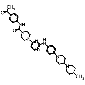 CC(=O)c1ccc(NC(=O)N2CCN(c3ccnc(Nc4ccc(N5CCC(N6CCN(C)CC6)CC5)cc4)n3)CC2)cc1